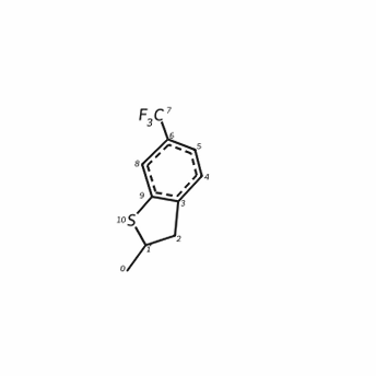 C[C]1Cc2ccc(C(F)(F)F)cc2S1